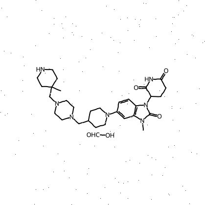 Cn1c(=O)n(C2CCC(=O)NC2=O)c2ccc(N3CCC(CN4CCN(CC5(C)CCNCC5)CC4)CC3)cc21.O=CO